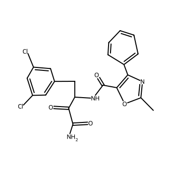 Cc1nc(-c2ccccc2)c(C(=O)NC(Cc2cc(Cl)cc(Cl)c2)C(=O)C(N)=O)o1